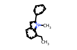 CCc1cccc2cc(-c3ccccc3)n(C)c12